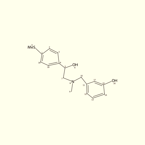 CSc1ccc(C(O)CN(C)Cc2cccc(O)c2)cc1